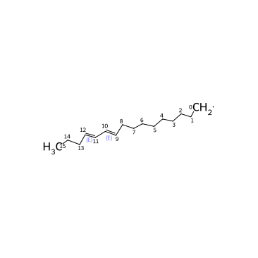 [CH2]CCCCCCCC/C=C/C=C/CCC